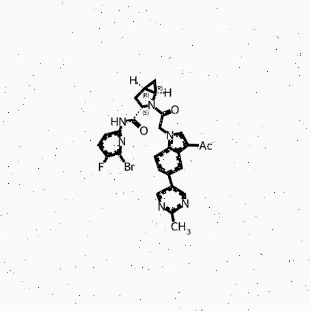 CC(=O)c1cn(CC(=O)N2[C@@H]3C[C@@H]3C[C@H]2C(=O)Nc2ccc(F)c(Br)n2)c2ccc(-c3cnc(C)nc3)cc12